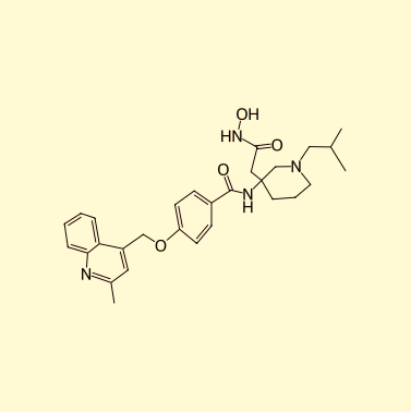 Cc1cc(COc2ccc(C(=O)NC3(CC(=O)NO)CCCN(CC(C)C)C3)cc2)c2ccccc2n1